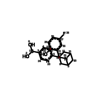 OB(O)c1ccc(N2CC3CC(C2)N3Cc2cc(F)ccc2O)nc1